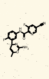 CC1=C[C@@](C)(c2cc(NC(=O)c3ncc(C#N)cc3F)ccc2F)N=C(N)O1